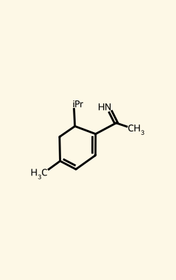 CC(=N)C1=CC=C(C)CC1C(C)C